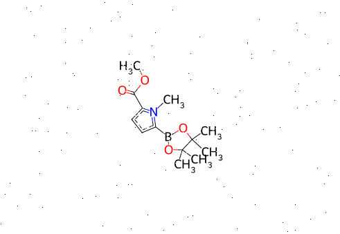 COC(=O)c1ccc(B2OC(C)(C)C(C)(C)O2)n1C